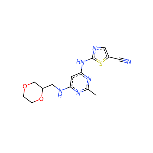 Cc1nc(NCC2COCCO2)cc(Nc2ncc(C#N)s2)n1